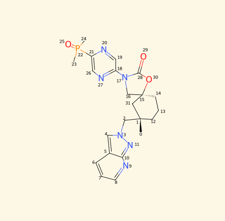 C[C@]1(Cn2cc3cccnc3n2)CCC[C@@]2(CN(c3cnc(P(C)(C)=O)cn3)C(=O)O2)C1